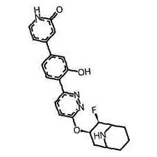 O=c1cc(-c2ccc(-c3ccc(O[C@@H]4CC5CCCC(N5)[C@@H]4F)nn3)c(O)c2)cc[nH]1